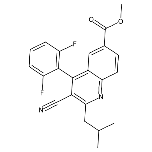 COC(=O)c1ccc2nc(CC(C)C)c(C#N)c(-c3c(F)cccc3F)c2c1